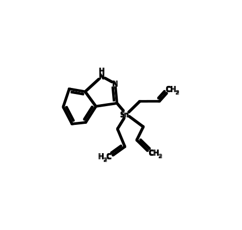 C=C[CH2][Sn]([CH2]C=C)([CH2]C=C)[c]1n[nH]c2ccccc12